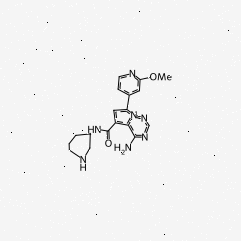 COc1cc(-c2cc(C(=O)N[C@@H]3CCCNC3)c3c(N)ncnn23)ccn1